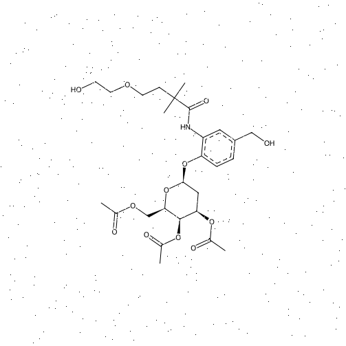 CC(=O)OC[C@H]1O[C@@H](Oc2ccc(CO)cc2NC(=O)C(C)(C)CCOCCO)C[C@@H](OC(C)=O)[C@H]1OC(C)=O